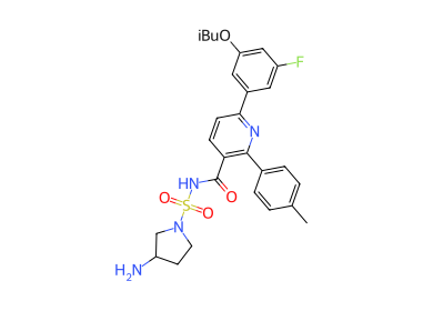 Cc1ccc(-c2nc(-c3cc(F)cc(OCC(C)C)c3)ccc2C(=O)NS(=O)(=O)N2CCC(N)C2)cc1